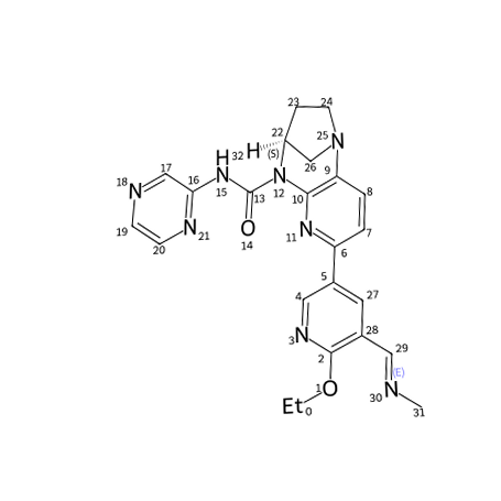 CCOc1ncc(-c2ccc3c(n2)N(C(=O)Nc2cnccn2)[C@H]2CCN3C2)cc1/C=N/C